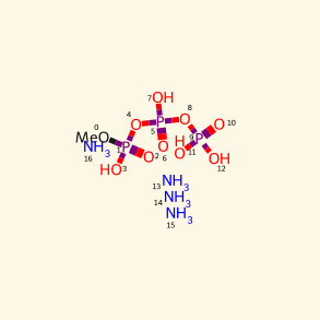 COP(=O)(O)OP(=O)(O)OP(=O)(O)O.N.N.N.N